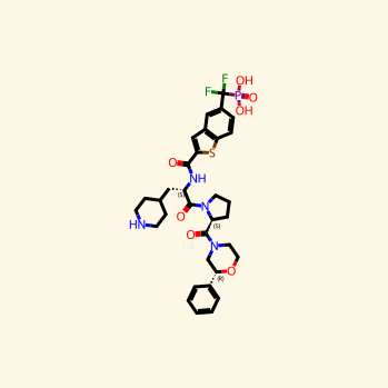 O=C(N[C@@H](CC1CCNCC1)C(=O)N1CCC[C@H]1C(=O)N1CCO[C@H](c2ccccc2)C1)c1cc2cc(C(F)(F)P(=O)(O)O)ccc2s1